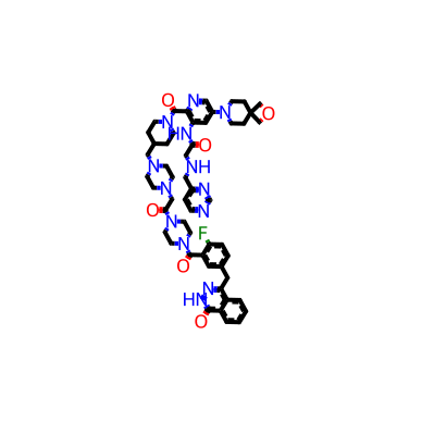 O=C(CNCc1ccncn1)Nc1cc(N2CCC3(CC2)COC3)cnc1C(=O)N1CCC(CN2CCN(CC(=O)N3CCN(C(=O)c4cc(Cc5n[nH]c(=O)c6ccccc56)ccc4F)CC3)CC2)CC1